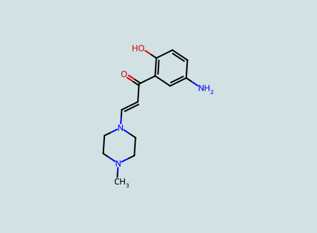 CN1CCN(C=CC(=O)c2cc(N)ccc2O)CC1